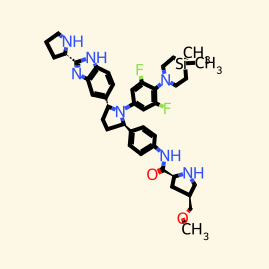 COC[C@@H]1CN[C@H](C(=O)Nc2ccc([C@H]3CC[C@H](c4ccc5[nH]c([C@@H]6CCCN6)nc5c4)N3c3cc(F)c(N4CC[Si](C)(C)CC4)c(F)c3)cc2)C1